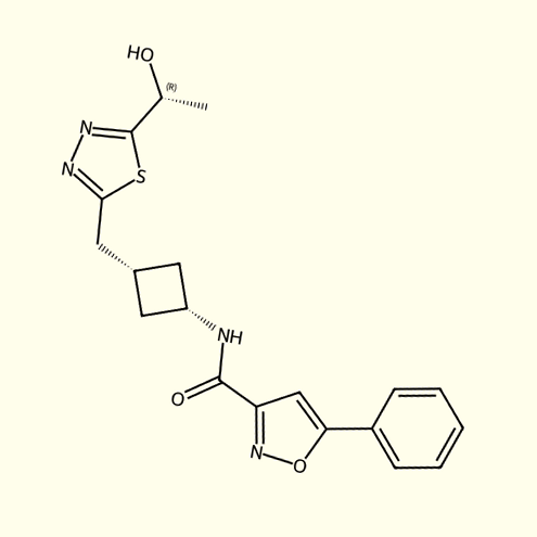 C[C@@H](O)c1nnc(C[C@H]2C[C@@H](NC(=O)c3cc(-c4ccccc4)on3)C2)s1